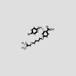 C=C(C)COCCCCOc1ccc(C(=O)O)cc1.Nc1ccc(Br)cc1